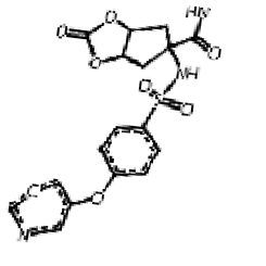 O=C1OC2CC(NS(=O)(=O)c3ccc(Oc4cccnc4)cc3)(C(=O)NO)CC2O1